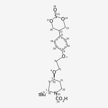 CC(C)(C)[C@@H]1C[C@@H](OCCOc2ccc(C3COS(=O)OC3)cc2)CCN1C(=O)O